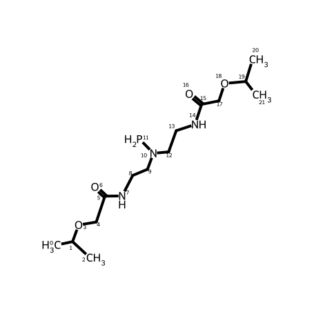 CC(C)OCC(=O)NCCN(P)CCNC(=O)COC(C)C